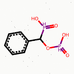 O=[PH](O)OC(c1ccccc1)[PH](=O)O